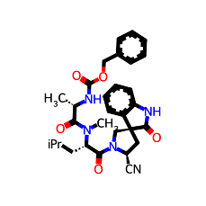 CC(C)C[C@@H](C(=O)N1C[C@]2(C[C@H]1C#N)C(=O)Nc1ccccc12)N(C)C(=O)[C@H](C)NC(=O)OCc1ccccc1